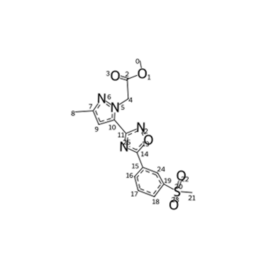 COC(=O)Cn1nc(C)cc1-c1noc(-c2cccc(S(C)(=O)=O)c2)n1